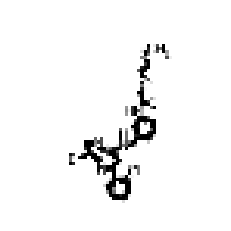 COCCOCC(=O)Nc1cccc(CNc2cc(-c3ccccc3Cl)nc3c(Br)cnn23)c1